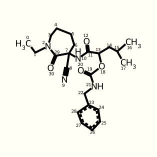 CCN1CCCCC(C#N)(NC(=O)C(CC(C)C)OC(=O)NCc2ccccc2)C1=O